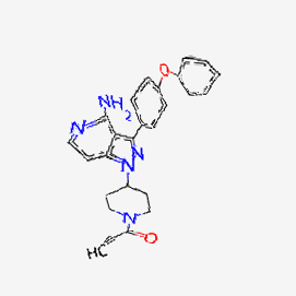 C#CC(=O)N1CCC(n2nc(-c3ccc(Oc4ccccc4)cc3)c3c(N)nccc32)CC1